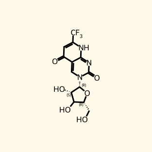 O=c1cc(C(F)(F)F)[nH]c2nc(=O)n([C@@H]3O[C@H](CO)C(O)[C@@H]3O)cc12